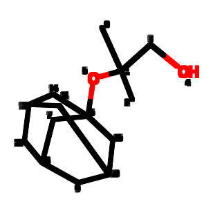 CC(C)(CO)OC12CC3CC(CC(C3)C1)C2